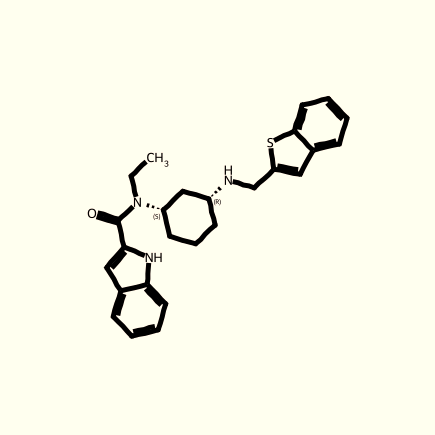 CCN(C(=O)c1cc2ccccc2[nH]1)[C@H]1CCC[C@@H](NCc2cc3ccccc3s2)C1